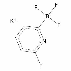 Fc1cccc([B-](F)(F)F)n1.[K+]